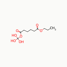 CCCOC(=O)CCCCC(=O)OC(O)(O)O